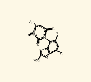 Cn1c(C(F)(F)F)cc(=O)n(-c2c(F)cc(Cl)c3nc(C(C)(C)C)oc23)c1=S